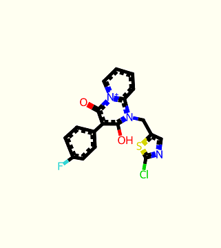 O=c1c(-c2ccc(F)cc2)c(O)n(Cc2cnc(Cl)s2)c2cccc[n+]12